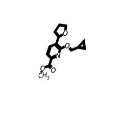 COC(=O)c1ccc(C2CCCO2)c(OCC2CC2)n1